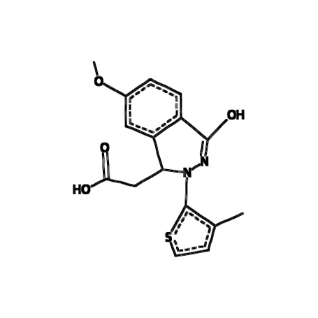 COc1ccc2c(c1)C(CC(=O)O)N(c1sccc1C)N=C2O